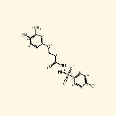 Cc1cc(OCCC(=O)NNS(=O)(=O)c2ccc(Cl)cc2)ccc1Cl